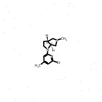 CCc1cc(C)cc(N2CC[C@@H]3CN(C)C[C@H]32)n1